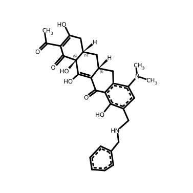 CC(=O)C1=C(O)C[C@@H]2C[C@@H]3Cc4c(N(C)C)cc(CNCc5ccccc5)c(O)c4C(=O)C3=C(O)[C@]2(O)C1=O